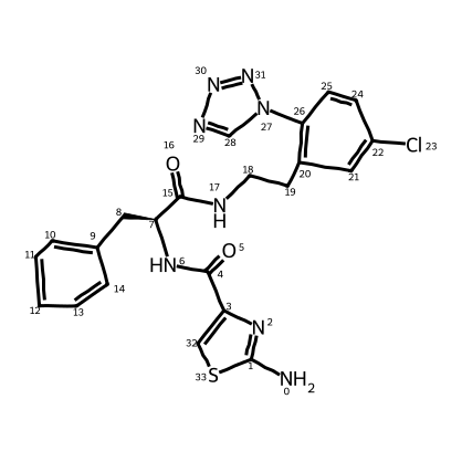 Nc1nc(C(=O)N[C@@H](Cc2ccccc2)C(=O)NCCc2cc(Cl)ccc2-n2cnnn2)cs1